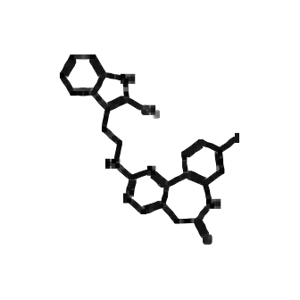 Cc1[nH]c2ccccc2c1CCNc1ncc2c(n1)-c1ccc(I)cc1NC(=O)C2